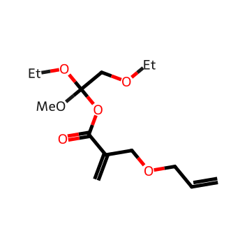 C=CCOCC(=C)C(=O)OC(COCC)(OC)OCC